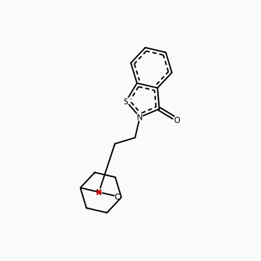 O=c1c2ccccc2sn1CCN1CC2CCC(CC2)C1